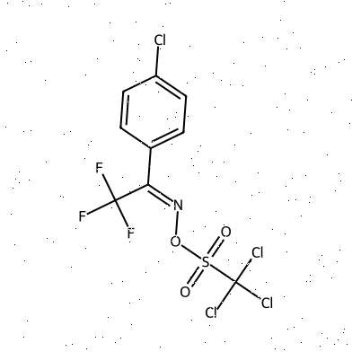 O=S(=O)(ON=C(c1ccc(Cl)cc1)C(F)(F)F)C(Cl)(Cl)Cl